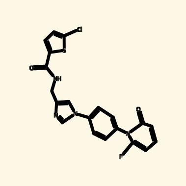 O=C(NCc1cn(-c2ccc(-n3c(F)cccc3=O)cc2)cn1)c1ccc(Cl)s1